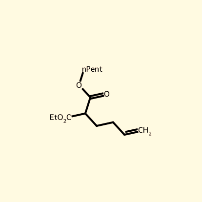 C=CCCC(C(=O)OCC)C(=O)OCCCCC